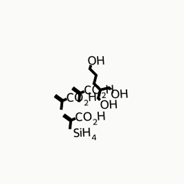 C=C(C)C(=O)O.C=C(C)C(=O)O.C=C(C)C(=O)O.OCCCC(CO)CO.[SiH4]